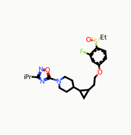 CC[S+]([O-])c1ccc(OCCC2CC2C2CCN(c3nc(C(C)C)no3)CC2)cc1F